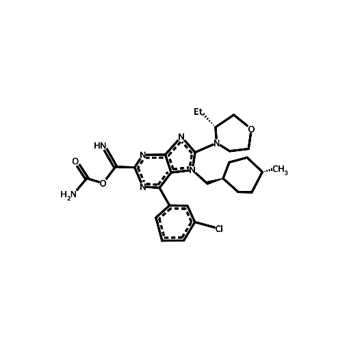 CC[C@@H]1COCCN1c1nc2nc(C(=N)OC(N)=O)nc(-c3cccc(Cl)c3)c2n1C[C@H]1CC[C@H](C)CC1